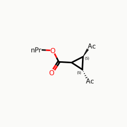 CCCOC(=O)C1[C@@H](C(C)=O)[C@@H]1C(C)=O